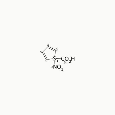 O=C(O)S1([N+](=O)[O-])C=CC=C1